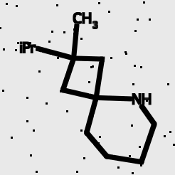 CC(C)C1(C)CC2(CCCCN2)C1